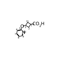 O=C(O)C1CC(Oc2ccccn2)C1